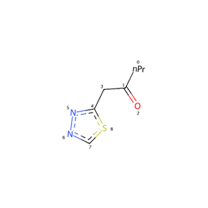 CCCC(=O)Cc1nncs1